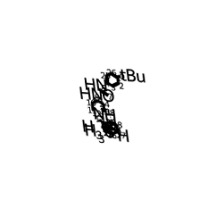 CC(C)(C)c1ccc(NC(=O)NC2CCN(CC3=CC[C@H]4C[C@H]3C4(C)C)CC2)cc1